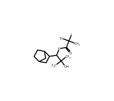 CCC(C)(I)C(=O)OC(C1CC2CCC1C2)C(O)(C(F)(F)F)C(F)(F)F